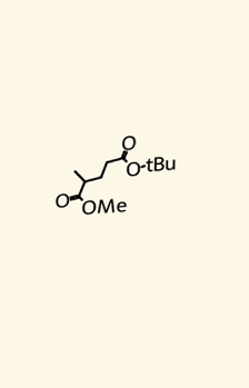 COC(=O)C(C)CCC(=O)OC(C)(C)C